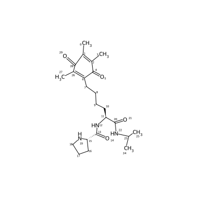 CC1=C(C)C(=O)C(CCCC[C@H](NC(=O)[C@@H]2CCCN2)C(=O)NC(C)C)=C(C)C1=O